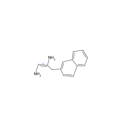 N/C=C(/N)Cc1ccc2ccccc2c1